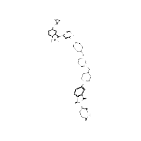 CC1(Oc2ccc3[nH]nc(-c4cc(N5CCC(CN6CCCN(CC7CCN(c8ccc9c(c8)C(=O)N(C8CCC(=O)NC8=O)C9=O)CC7)C6)CC5)ncn4)c3c2)CC1